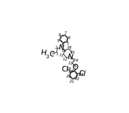 CCCN(c1ccccc1)C1CCN(CCOc2c(Cl)cccc2Cl)CC1